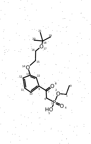 CCOP(=O)(O)CC(=O)c1cccc(OCCOC(C)(C)C)c1